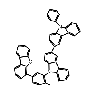 Cc1ccc(-c2cccc3c2oc2ccccc23)cc1-n1c2ccccc2c2cc(-c3ccc4c(c3)c3ccccc3n4-c3ccccc3)ccc21